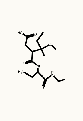 CCNC(=O)C(CN)NC(=O)C(CC(=O)O)C(C)(CC)SC